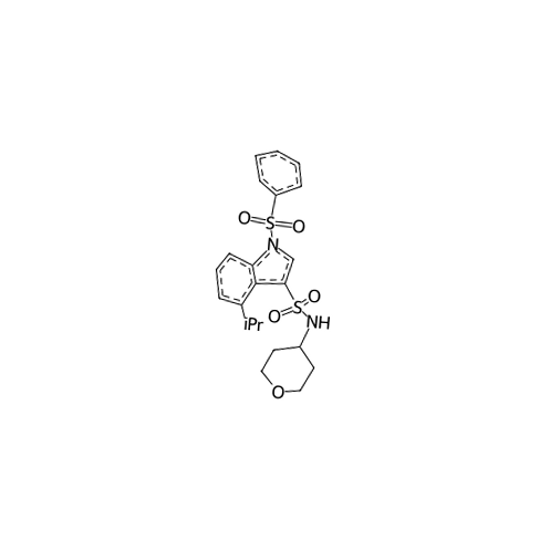 CC(C)c1cccc2c1c(S(=O)(=O)NC1CCOCC1)cn2S(=O)(=O)c1ccccc1